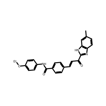 CCOc1ccc(NC(=O)c2ccc(C=CC(=O)c3nc4ccc(C)cc4[nH]3)cc2)cc1